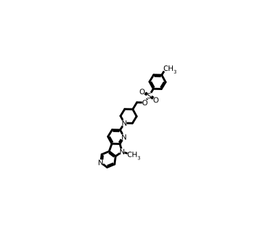 Cc1ccc(S(=O)(=O)OCC2CCN(c3ccc4c5cnccc5n(C)c4n3)CC2)cc1